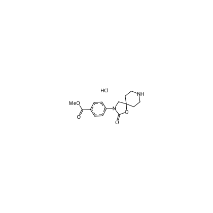 COC(=O)c1ccc(N2CC3(CCNCC3)OC2=O)cc1.Cl